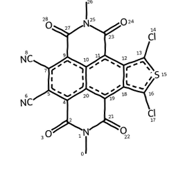 CN1C(=O)c2c(C#N)c(C#N)c3c4c(c5c(Cl)sc(Cl)c5c(c24)C1=O)C(=O)N(C)C3=O